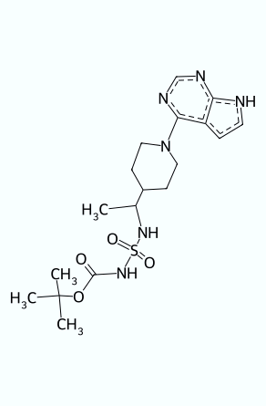 CC(NS(=O)(=O)NC(=O)OC(C)(C)C)C1CCN(c2ncnc3[nH]ccc23)CC1